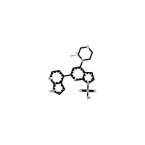 CC(C)S(=O)(=O)n1ccc2c(N3CCOC[C@H]3C)cc(-c3ccnc4[nH]ccc34)nc21